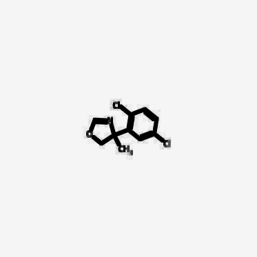 CC1(c2cc(Cl)ccc2Cl)COC=N1